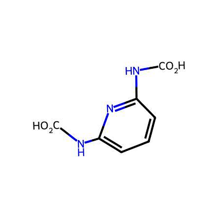 O=C(O)Nc1cccc(NC(=O)O)n1